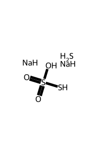 O=S(=O)(O)S.S.[NaH].[NaH]